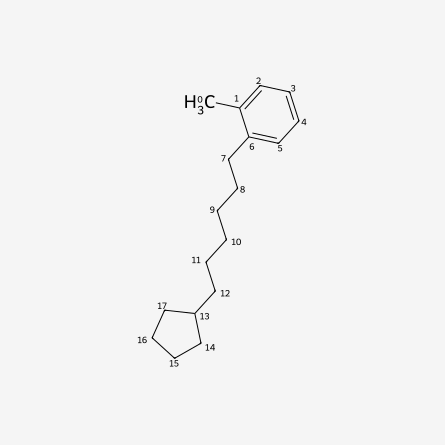 Cc1ccccc1CCCCCCC1CCCC1